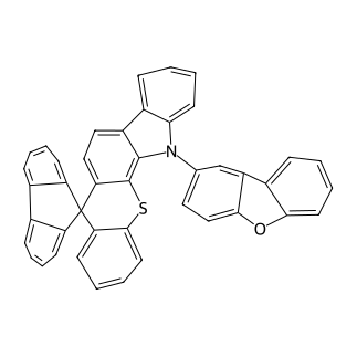 c1ccc2c(c1)Sc1c(ccc3c4ccccc4n(-c4ccc5oc6ccccc6c5c4)c13)C21c2ccccc2-c2ccccc21